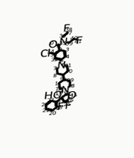 O=C(c1ccc(N2CCC(C3CCN(C(=O)[C@](O)(c4ccccc4)C(F)(F)F)CC3)CC2)cc1Cl)N(CCF)CCF